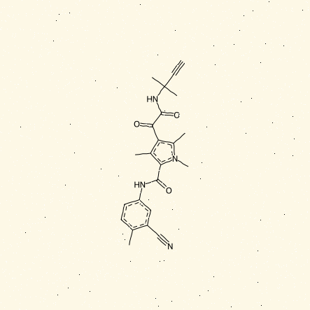 C#CC(C)(C)NC(=O)C(=O)c1c(C)c(C(=O)Nc2ccc(C)c(C#N)c2)n(C)c1C